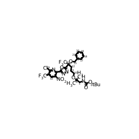 CC(C)(C)OC(=O)NCC(C)(C)OCCC[C@@](OCc1ccccc1)(c1nnc(-c2nc(Cl)c(C(F)(F)F)cc2[N+](=O)[O-])o1)C(F)(F)F